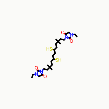 CCN1CC(=O)N(CCC(C)(C)CCC(S)CCC(S)CCC(C)(C)CCN2C(=O)CN(CC)C2=O)C1=O